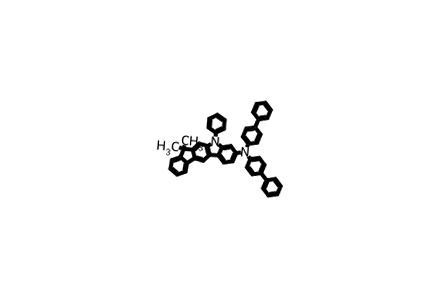 CC1(C)c2ccccc2-c2cc3c4ccc(N(c5ccc(-c6ccccc6)cc5)c5ccc(-c6ccccc6)cc5)cc4n(-c4ccccc4)c3cc21